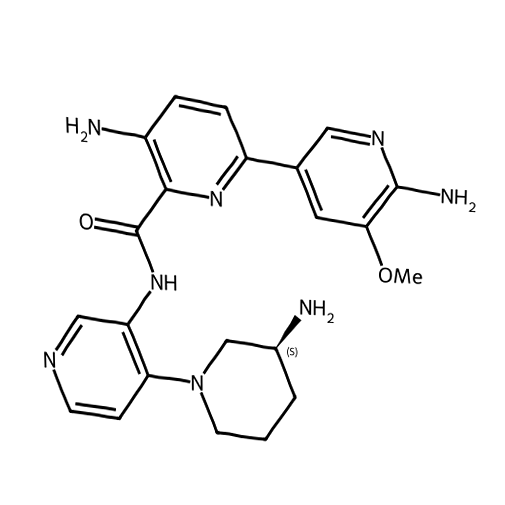 COc1cc(-c2ccc(N)c(C(=O)Nc3cnccc3N3CCC[C@H](N)C3)n2)cnc1N